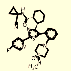 CN=S1(=O)CCN(c2ccccc2-c2sc(-c3ccc(F)cn3)nc2[C@@H]2CCCC[C@H]2C(=O)NC2(C#N)CC2)CC1